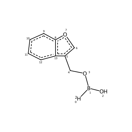 [2H]B(O)OCc1coc2ccccc12